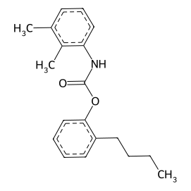 CCCCc1ccccc1OC(=O)Nc1cccc(C)c1C